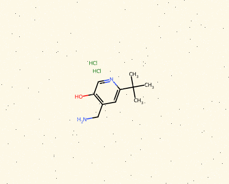 CC(C)(C)c1cc(CN)c(O)cn1.Cl.Cl